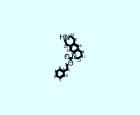 O=C(OCCc1ccccc1)N1CCCc2cc3c(cc21)CCNCC3